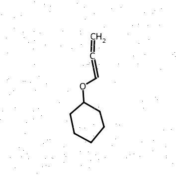 C=C=COC1CCCCC1